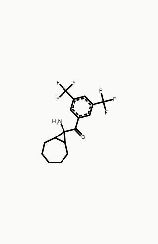 NC1(C(=O)c2cc(C(F)(F)F)cc(C(F)(F)F)c2)C2CCCCCC21